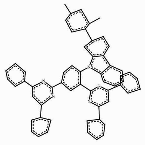 Cc1ccc(-c2ccc3c4ccccc4n(-c4ccc(-c5nc(-c6ccccc6)cc(-c6ccccc6)n5)cc4-c4nc(-c5ccccc5)cc(-c5ccccc5)n4)c3c2)c(C)c1